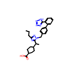 CCCc1nc(C(C)C2CCC(C(=O)O)CC2)n(Cc2ccc(-c3ccccc3-c3nnn[nH]3)cc2)n1